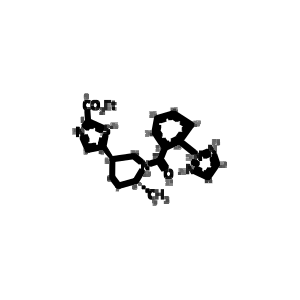 CCOC(=O)c1ncc([C@@H]2CC[C@@H](C)N(C(=O)c3ccccc3-n3nccn3)C2)s1